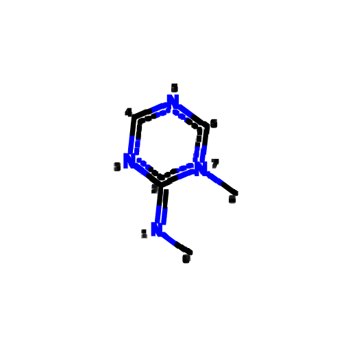 C/N=c1/ncncn1C